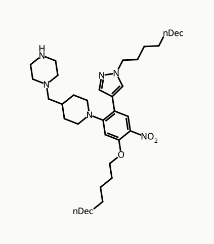 CCCCCCCCCCCCCCOc1cc(N2CCC(CN3CCNCC3)CC2)c(-c2cnn(CCCCCCCCCCCCCC)c2)cc1[N+](=O)[O-]